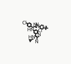 CC(C)(C)N1CCC(n2cc([C@@H](Nc3cc(Cl)c4ncc(C#N)c(NCC5CC5)c4c3)c3ccc(Cl)cc3)nn2)CC1